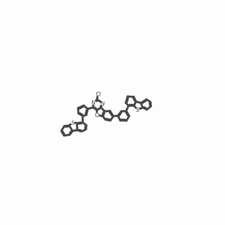 Clc1nc(-c2cccc(-c3cccc4c3sc3ccccc34)c2)c2oc3ccc(-c4cccc(-c5cccc6c5sc5ccccc56)c4)cc3c2n1